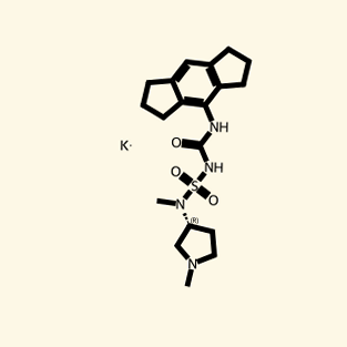 CN1CC[C@@H](N(C)S(=O)(=O)NC(=O)Nc2c3c(cc4c2CCC4)CCC3)C1.[K]